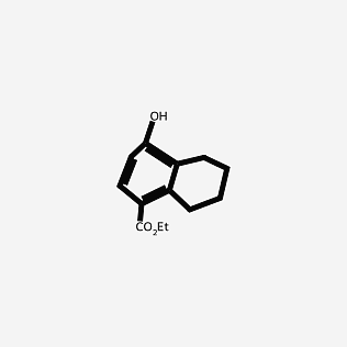 CCOC(=O)c1ccc(O)c2c1CCCC2